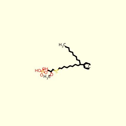 CCCCCCCCCC(CCCCCCCCSCC(COP(=O)(O)O)OC)c1ccccc1